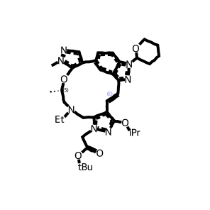 CCN1Cc2c(c(OC(C)C)nn2CC(=O)OC(C)(C)C)/C=C/c2nn(C3CCCCO3)c3ccc(cc23)-c2cnn(C)c2O[C@@H](C)C1